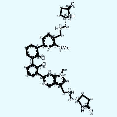 COc1nc(-c2cccc(-c3cccc(-c4ncc5c(CNC[C@@H]6CCC(=O)N6)cn(C)c5n4)c3Cl)c2Cl)ccc1CNC[C@@H]1CCC(=O)N1